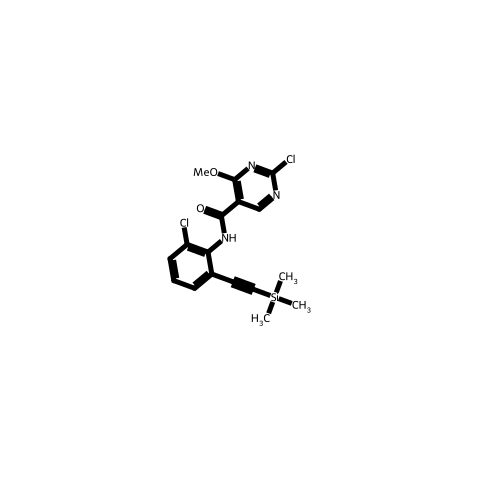 COc1nc(Cl)ncc1C(=O)Nc1c(Cl)cccc1C#C[Si](C)(C)C